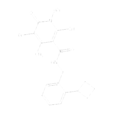 CCCn1c(C)c(C(=O)NCc2ccccc2C2CCC2)c(C)c(Br)c1=O